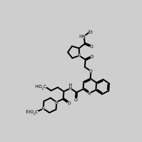 CCNC(=O)C1CCCN1C(=O)COc1cc(C(=O)NC(CCC(=O)O)C(=O)N2CCN(C(=O)OCC)CC2)nc2ccccc12